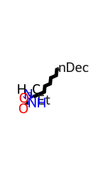 CCCCCCCCCCCCCCCCC(C)(CC)c1noc(=O)[nH]1